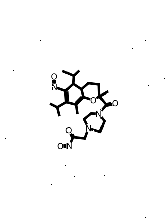 CC1=C2OC(C)(C(=O)N3CCN(CC(=O)N=O)CC3)CCC2C(C(C)C)C(N=O)=C1C(C)C